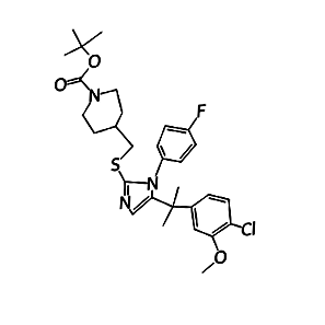 COc1cc(C(C)(C)c2cnc(SCC3CCN(C(=O)OC(C)(C)C)CC3)n2-c2ccc(F)cc2)ccc1Cl